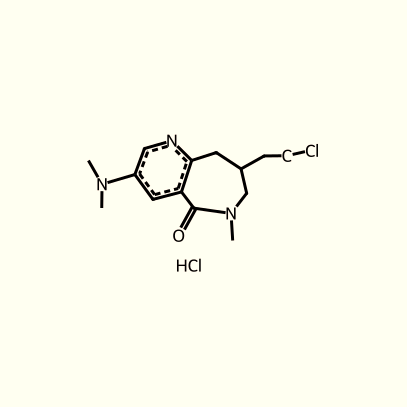 CN1CC(CCCl)Cc2ncc(N(C)C)cc2C1=O.Cl